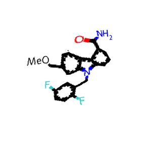 COCc1c[c]c2c3c(C(N)=O)cccc3n(Cc3cc(F)ccc3F)c2c1